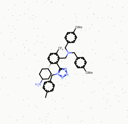 COc1ccc(CN(Cc2ccc(OC)cc2)Cc2c(C(F)(F)F)ccc([C@H]3CC[C@H](N)CC3)c2-c2nnnn2Cc2ccc(C)cc2)cc1